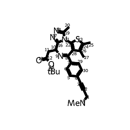 CNCC#Cc1ccc(C2=NC(CC(=O)OC(C)(C)C)c3nnc(C)n3-c3sc(C)c(C)c32)cc1